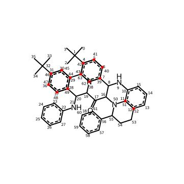 CC(C)(C)c1ccc(C(Nc2ccccc2)C(C(=O)C(C(Nc2ccccc2)c2ccc(C(C)(C)C)cc2)N2CCCCC2c2ccccc2)N2CCCCC2c2ccccc2)cc1